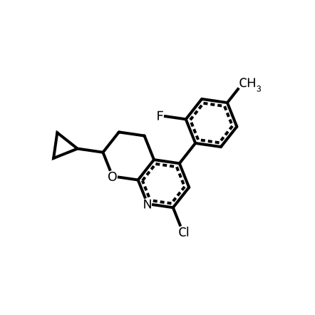 Cc1ccc(-c2cc(Cl)nc3c2CCC(C2CC2)O3)c(F)c1